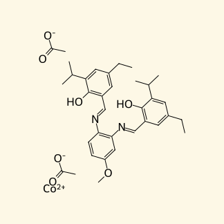 CC(=O)[O-].CC(=O)[O-].CCc1cc(C=Nc2ccc(OC)cc2N=Cc2cc(CC)cc(C(C)C)c2O)c(O)c(C(C)C)c1.[Co+2]